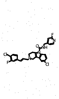 O=C(NCc1ccnc(F)c1)n1c2c(c3cc(Cl)ccc31)CN(C/C=C/c1ccc(Cl)c(F)c1)CC2